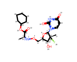 C[C@H](NOC[C@H]1O[C@@H](n2ccc(=O)[nH]c2=O)[C@](C)(F)[C@@H]1O)C(=O)OC1CCCCC1